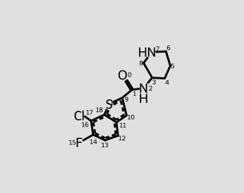 O=C(NC1CCCNC1)c1cc2ccc(F)c(Cl)c2s1